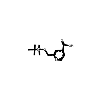 CC(C)(C)[Si](C)(C)OCc1cc(C(=O)O)ccn1